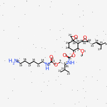 COC1C(OC(=O)N[C@@H](COC(=O)NCCCCCCN)C(C)C)CC[C@]2(CO2)C1[C@H]1O[C@@H]1CC=C(C)C